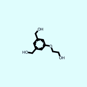 OCCOc1cc(CO)cc(CO)c1